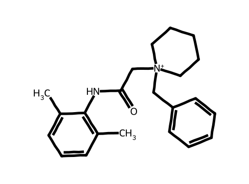 Cc1cccc(C)c1NC(=O)C[N+]1(Cc2ccccc2)CCCCC1